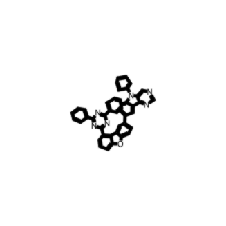 c1ccc(-c2nc(-c3ccccc3)nc(-c3cccc4oc5ccc(-c6ccc7c(c6)c6ncncc6n7-c6ccccc6)cc5c34)n2)cc1